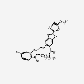 CCN(CC(=O)O)c1ccc(Cl)cc1OCCOc1cc2cc(-c3ncc(C(=O)O)o3)oc2cc1N(CC)CC(=O)O